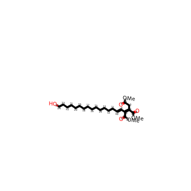 COC(=O)CC(C(=O)OC)=C(C=CCCCCCCCCCCCCCCO)C(=O)OC